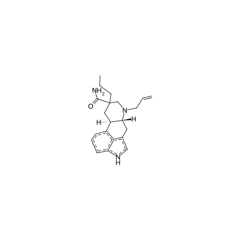 C=CCN1CC(CCC)(C(N)=O)C[C@@H]2c3cccc4[nH]cc(c34)C[C@H]21